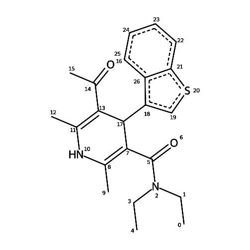 CCN(CC)C(=O)C1=C(C)NC(C)=C(C(C)=O)C1c1csc2ccccc12